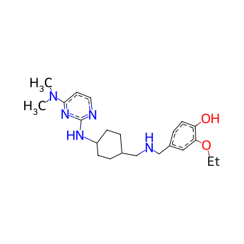 CCOc1cc(CNCC2CCC(Nc3nccc(N(C)C)n3)CC2)ccc1O